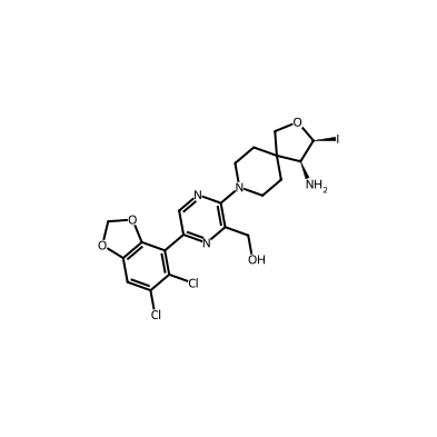 N[C@@H]1[C@H](I)OCC12CCN(c1ncc(-c3c(Cl)c(Cl)cc4c3OCO4)nc1CO)CC2